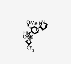 COC[C@@H]1CN(c2cccnn2)CC[C@@H]1NS(=O)(=O)N1CC(C(F)(F)F)C1